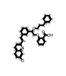 O=C(O)c1ccccc1OCC(OCCCc1ccccc1)c1cccc(/C=C/c2ccc3ccc(Cl)cc3n2)c1